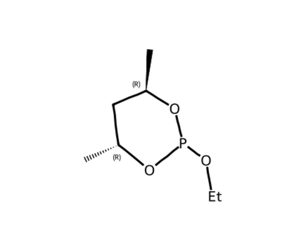 CCOP1O[C@H](C)C[C@@H](C)O1